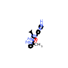 Cc1c(C(=O)NC(CCC2CC2)C(=O)NCc2ccc(N3CCNCC3)cc2)[nH]c2ccccc12